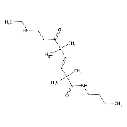 CCCCNC(=O)C(C)(C)N=NC(C)(C)C(=O)CCNCC